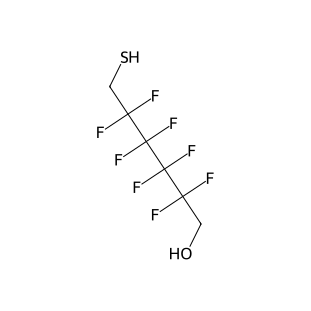 OCC(F)(F)C(F)(F)C(F)(F)C(F)(F)CS